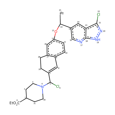 CCOC(=O)C1CCN(C(Cl)C2=Cc3ccc(OC(c4cnc5[nH]nc(Cl)c5c4)C(C)C)cc3CC2)CC1